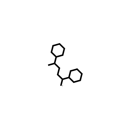 [CH2]C(CCC(C)C1CCCCC1)C1CCCCC1